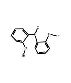 CCOc1ccccc1P(Cl)c1ccccc1OCC